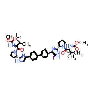 COC(=O)N[C@H](C(=O)N1CCC[C@H]1c1nc(-c2ccc(-c3ccc(-c4nc([C@@H]5CCCN5C(=O)[C@@H](NC(=O)OC)C(C)C)[nH]c4I)cc3)cc2)c[nH]1)C(C)C